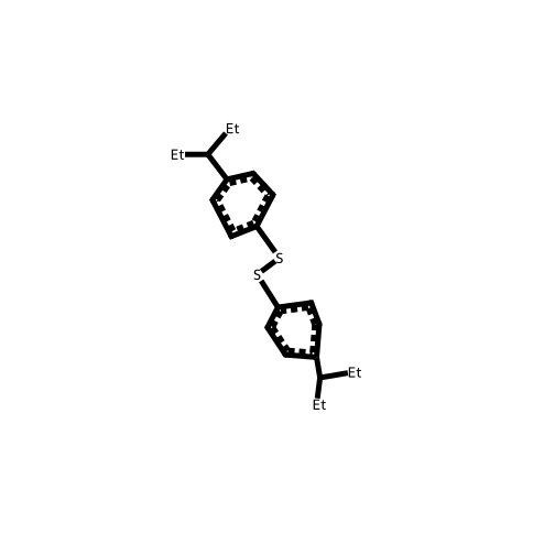 CCC(CC)c1ccc(SSc2ccc(C(CC)CC)cc2)cc1